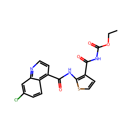 CCOC(=O)NC(=O)c1ccsc1NC(=O)c1ccnc2cc(Cl)ccc12